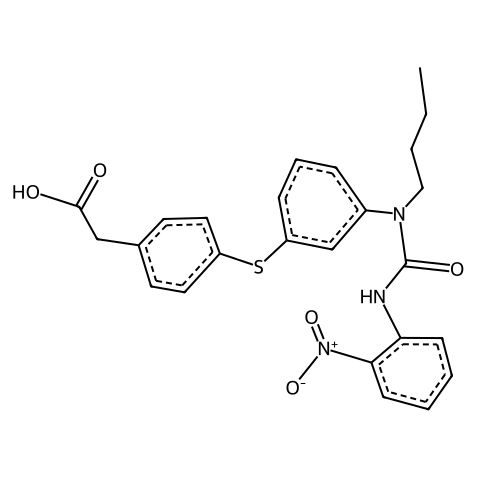 CCCCN(C(=O)Nc1ccccc1[N+](=O)[O-])c1cccc(Sc2ccc(CC(=O)O)cc2)c1